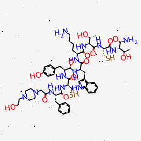 C[C@@H](O)[C@H](NC(=O)[C@H](CS)NC(=O)[C@@H](NC(=O)[C@H](CCCCN)NC(=O)[C@@H](Cc1c[nH]c2ccccc12)NC(=O)[C@H](Cc1ccc(O)cc1)NC(=O)[C@@H](CS)NC(=O)[C@H](Cc1ccccc1)NC(=O)CN1CCN(CCO)CC1)[C@@H](C)O)C(N)=O